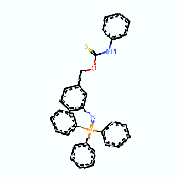 S=C(Nc1ccccc1)OCc1cccc(N=P(c2ccccc2)(c2ccccc2)c2ccccc2)c1